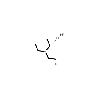 CCN(CC)CC.Cl.F.F.F